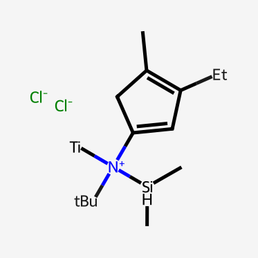 CCC1=C(C)CC([N+]([Ti])([SiH](C)C)C(C)(C)C)=C1.[Cl-].[Cl-]